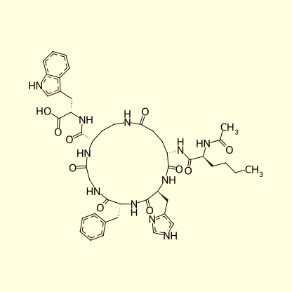 CCCC[C@H](NC(C)=O)C(=O)N[C@H]1CCC(=O)NCC[C@@H](C(=O)N[C@@H](Cc2c[nH]c3ccccc23)C(=O)O)NC(=O)CNC(=O)[C@@H](Cc2ccccc2)NC(=O)[C@H](Cc2c[nH]cn2)NC1=O